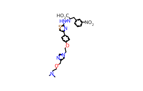 CN(C)CCOCc1cn(CCOc2ccc(-c3csc(N/N=C(/Cc4cccc([N+](=O)[O-])c4)C(=O)O)n3)cc2)cn1